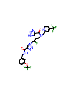 O=C(NCc1cccc(OC(F)(F)F)c1)c1cn(CC(F)CCN(Cc2cc(C(F)(F)F)ccn2)C(=O)c2c[nH]nn2)nn1